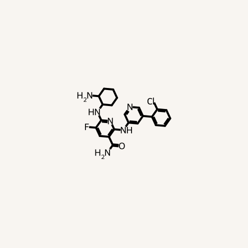 NC(=O)c1cc(F)c(NC2CCCCC2N)nc1Nc1cncc(-c2ccccc2Cl)c1